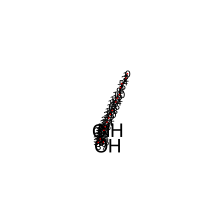 CCCCCCCCCCCCCCCCCCCCCCCCCCCCNC(=O)C=Cc1ccc(O)cc1